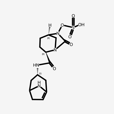 O=C(N[C@@H]1CC2=CCC(C1)N2)[C@H]1CC[C@@H]2CN1C(=O)N2OS(=O)(=O)O